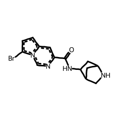 O=C(NC1CC2CC1CN2)c1cc2ccc(Br)n2cn1